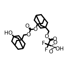 O=C(OCC12CC3CC(CC(O)(C3)C1)C2)OC12CC3CC(CC(COC(=O)C(F)(F)S(=O)(=O)O)(C3)C1)C2